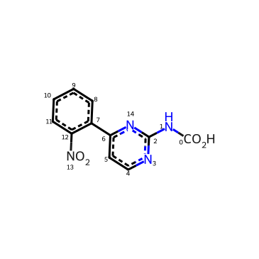 O=C(O)Nc1nccc(-c2ccccc2[N+](=O)[O-])n1